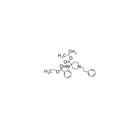 CCOC(=O)c1ccccc1NC1(C(=O)OC(C)C)CCN(CCc2ccccc2)CC1